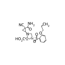 C=CCOc1ccccc1S(=O)(=O)[C@@H]1C[C@@H](C(=O)O)N(C2CC2(C#N)C(N)=O)C1